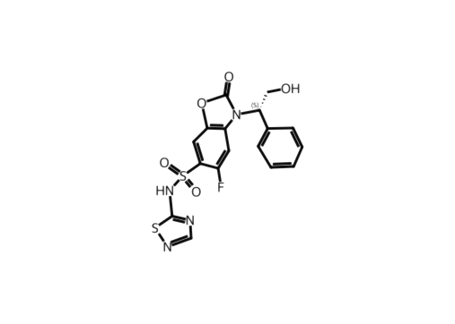 O=c1oc2cc(S(=O)(=O)Nc3ncns3)c(F)cc2n1[C@H](CO)c1ccccc1